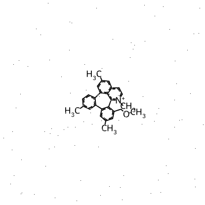 COCc1cc(C)cc2c1-c1c3c(cc(C)cc3cc[n+]1C)-c1ccc(C)cc1-2